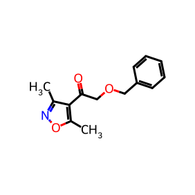 Cc1noc(C)c1C(=O)COCc1ccccc1